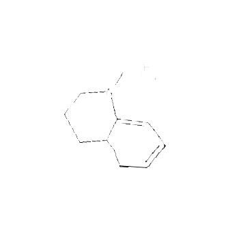 Cl.O=C(O)N1CCCC2CC=CC=C21